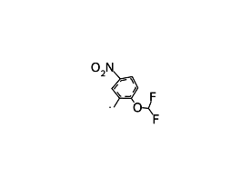 [CH2]c1cc([N+](=O)[O-])ccc1OC(F)F